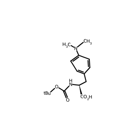 CN(C)c1ccc(C[C@H](NC(=O)OC(C)(C)C)C(=O)O)cc1